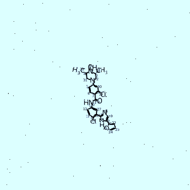 C[C@@H]1CN(c2ccc(C(=O)Nc3ccc(Cl)c(-c4ncc(-c5ccco5)[nH]4)c3)c(Cl)c2)C[C@H](C)N1C